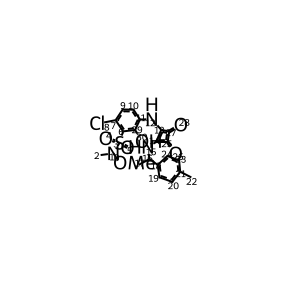 CON(C)S(=O)(=O)c1c(Cl)ccc(Nc2c(NC(C)c3ccc(C)cc3)c(=O)c2=O)c1O